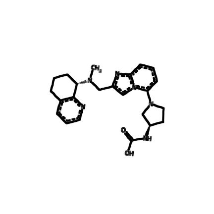 CN(Cc1cn2c(N3CC[C@@H](NC(=O)O)C3)cccc2n1)[C@H]1CCCc2cccnc21